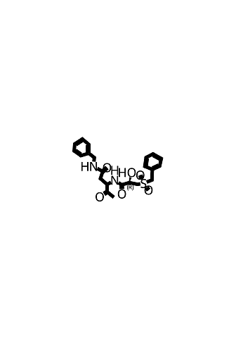 CC(=O)C(CC(=O)NCc1ccccc1)NC(=O)[C@@H](O)CS(=O)(=O)Cc1ccccc1